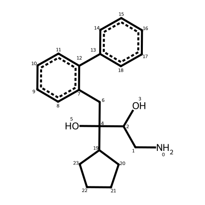 NCC(O)C(O)(Cc1ccccc1-c1ccccc1)C1CCCC1